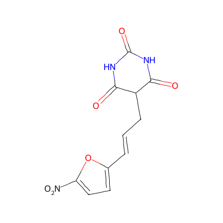 O=C1NC(=O)C(CC=Cc2ccc([N+](=O)[O-])o2)C(=O)N1